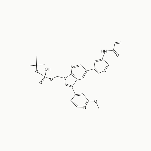 C=CC(=O)Nc1cncc(-c2cnc3c(c2)c(-c2ccnc(OC)c2)cn3COP(=O)(O)OC(C)(C)C)c1